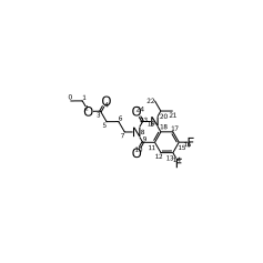 CCOC(=O)CCCn1c(=O)c2cc(F)c(F)cc2n(C(C)C)c1=O